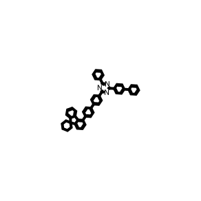 c1ccc(-c2ccc(-c3nc(-c4ccccc4)nc(-c4ccc(-c5ccc(-c6cccc7c6-c6ccccc6C76CCCCC6)cc5)cc4)n3)cc2)cc1